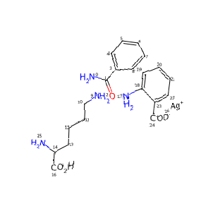 NC(=O)c1ccccc1.NCCCCC(N)C(=O)O.Nc1ccccc1C(=O)[O-].[Ag+]